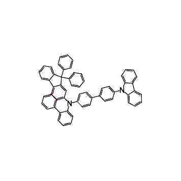 c1ccc(-c2ccccc2N(c2ccc(-c3ccc(-n4c5ccccc5c5ccccc54)cc3)cc2)c2ccc3c(c2)C(c2ccccc2)(c2ccccc2)c2ccccc2-3)cc1